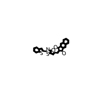 O=C1C(=Cc2cc3sc(-c4cc5ccccc5s4)nc3o2)C(=O)c2cc3ccccc3cc21